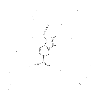 N=C(N)c1ccc2c(c1)[nH]c(=O)n2C=C=O